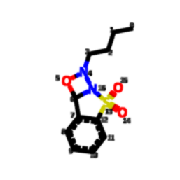 CCCCN1OC2c3ccccc3S(=O)(=O)N21